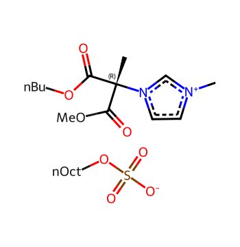 CCCCCCCCOS(=O)(=O)[O-].CCCCOC(=O)[C@@](C)(C(=O)OC)n1cc[n+](C)c1